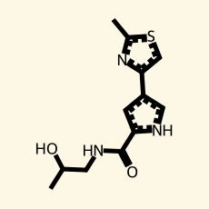 Cc1nc(-c2c[nH]c(C(=O)NCC(C)O)c2)cs1